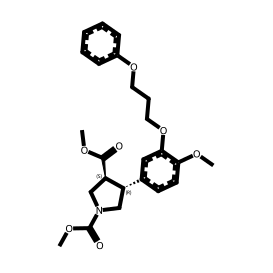 COC(=O)[C@@H]1CN(C(=O)OC)C[C@H]1c1ccc(OC)c(OCCCOc2ccccc2)c1